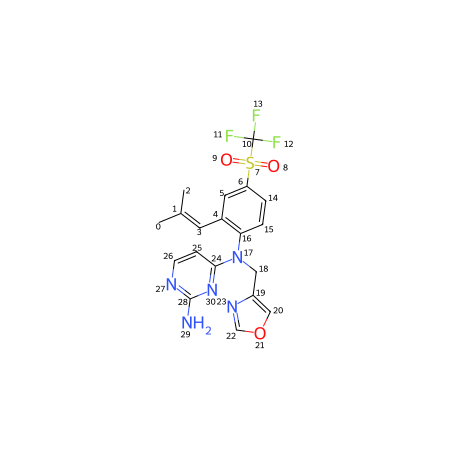 CC(C)=Cc1cc(S(=O)(=O)C(F)(F)F)ccc1N(Cc1cocn1)c1ccnc(N)n1